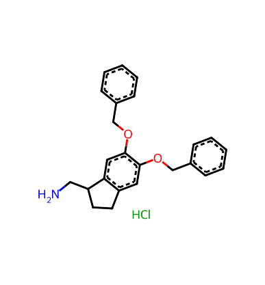 Cl.NCC1CCc2cc(OCc3ccccc3)c(OCc3ccccc3)cc21